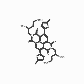 CCCCCCCCCCCCC(CCCCCCCCCC)CN1C(=O)c2cc(-c3ccc(C)s3)c3c4c(cc(-c5ccc(C)s5)c(c24)C1=O)C(=O)N(CC(CCCCCCCCCC)CCCCCCCCCCCC)C3=O